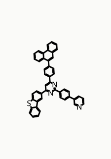 c1cncc(-c2ccc(-c3nc(-c4ccc(-c5cc6ccccc6c6ccccc56)cc4)cc(-c4ccc5sc6ccccc6c5c4)n3)cc2)c1